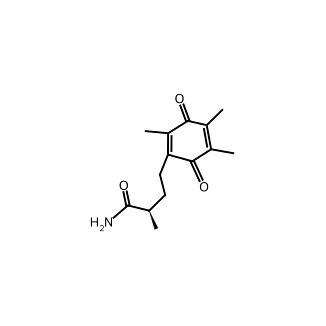 CC1=C(C)C(=O)C(CC[C@@H](C)C(N)=O)=C(C)C1=O